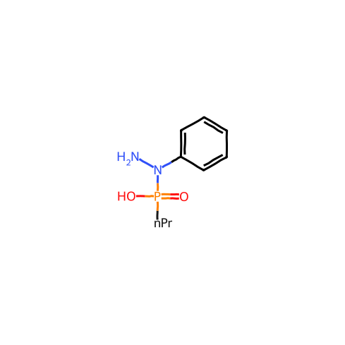 CCCP(=O)(O)N(N)c1ccccc1